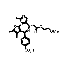 COCCOC(=O)C[C@@H]1N=C(c2ccc(C(=O)O)cc2)c2c(sc(C)c2C)-n2c(C)nnc21